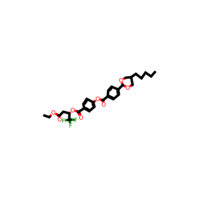 CCCCCC1COC(c2ccc(C(=O)Oc3ccc(C(=O)OC(CC(=O)OCC)C(F)(F)F)cc3)cc2)OC1